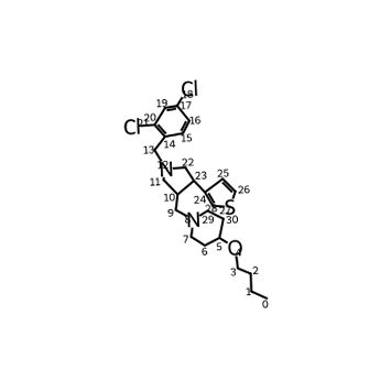 CCCCOC1CCN(CC2CN(Cc3ccc(Cl)cc3Cl)CC2c2ccsc2)CC1